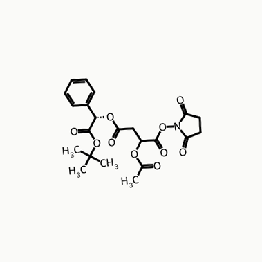 CC(=O)OC(CC(=O)O[C@H](C(=O)OC(C)(C)C)c1ccccc1)C(=O)ON1C(=O)CCC1=O